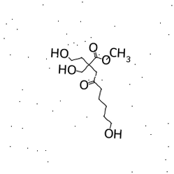 COC(=O)C(CO)(CCO)CC(=O)CCCCCO